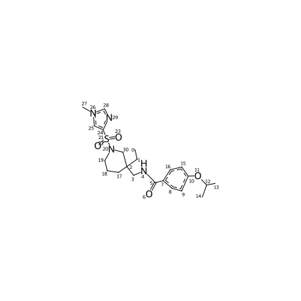 CCC1(CNC(=O)c2ccc(OC(C)C)cc2)CCCN(S(=O)(=O)c2cn(C)cn2)C1